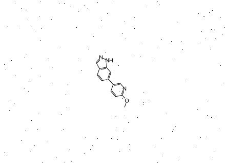 COc1ccc(-c2ccc3cn[nH]c3c2)cn1